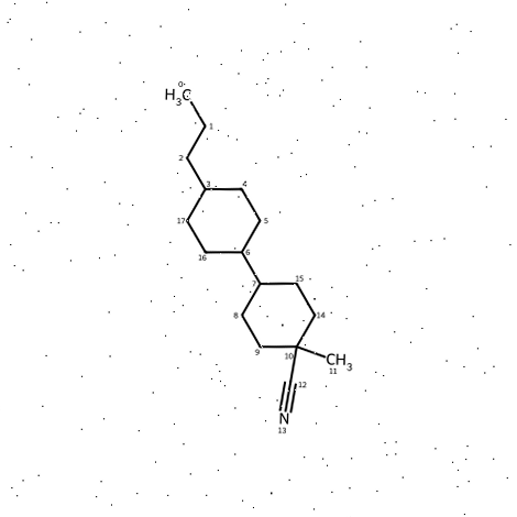 CCCC1CCC(C2CCC(C)(C#N)CC2)CC1